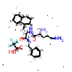 NCCC[C@@H](N)C(=O)N[C@@H](Cc1cccc2ccccc12)C(=O)NCc1ccccc1.O=C(O)C(F)(F)F